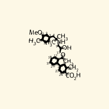 COc1cc(CC(C)(C)NC[C@@H](O)COC(C)c2ccccc2-c2ccc(C(=O)O)c(C)c2)ccc1C